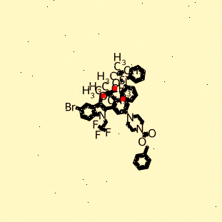 COC(C)c1ncc(N2CCN(C(=O)OCc3ccccc3)CC2)cc1-c1c(CC(C)(C)CO[Si](c2ccccc2)(c2ccccc2)C(C)(C)C)c2cc(Br)ccc2n1CC(F)(F)F